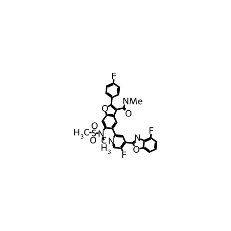 CNC(=O)c1c(-c2ccc(F)cc2)oc2cc(N(C)S(C)(=O)=O)c(-c3cc(-c4nc5c(F)cccc5o4)c(F)cn3)cc12